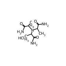 CC(C(N)=O)N(C(C)C(N)=O)C(C)C(N)=O.Cl